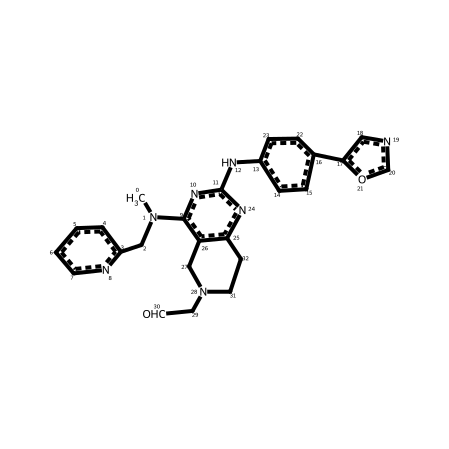 CN(Cc1ccccn1)c1nc(Nc2ccc(-c3cnco3)cc2)nc2c1CN(CC=O)CC2